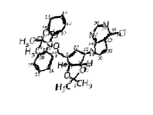 CC1(C)O[C@@H]2[C@H](O1)C(CO[Si](c1ccccc1)(c1ccccc1)C(C)(C)C)=C[C@H]2n1ccc2c(Cl)ncnc21